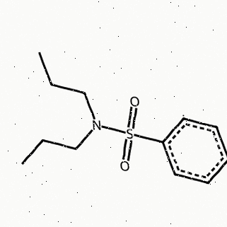 CCCN(CCC)S(=O)(=O)c1[c]cccc1